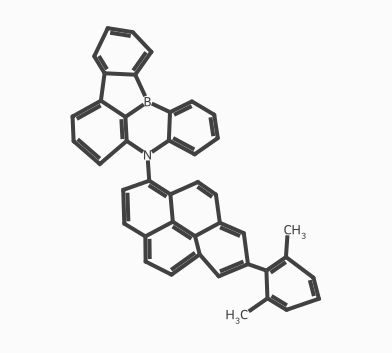 Cc1cccc(C)c1-c1cc2ccc3ccc(N4c5ccccc5B5c6ccccc6-c6cccc4c65)c4ccc(c1)c2c34